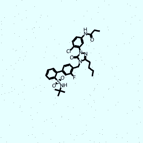 CCCCc1nn(-c2cc(NC(=O)CC)ccc2Cl)c(=O)n1Cc1ccc(-c2ccccc2S(=O)(=O)NC(C)(C)C)cc1F